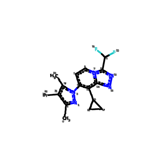 Cc1nn(-c2ccn3c(C(F)F)nnc3c2C2CC2)c(C)c1C(C)C